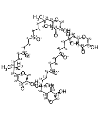 CC(C)(CCC[S+]([O-])CCC[S+]([O-])CCCC(C)(C)Cc1cc(=O)c(O)co1)Cc1cc(=O)c(O)co1.CC(C)(CCC[S+]([O-])CCC[S+]([O-])CCCC(C)(C)Cc1cocc(O)c1=O)Cc1cc(=O)c(O)co1